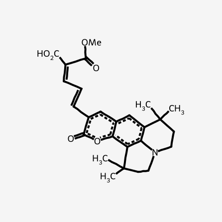 COC(=O)C(=CC=Cc1cc2cc3c4c(c2oc1=O)C(C)(C)CCN4CCC3(C)C)C(=O)O